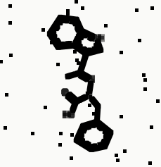 C/C(=N\N(Cc1ccccc1)C(=O)O)c1c[nH]c2ccccc12